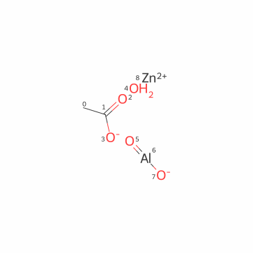 CC(=O)[O-].O.[O]=[Al][O-].[Zn+2]